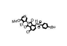 CCc1c(OC)cncc1N1C(=O)c2c(Cl)ccc(NS(=O)(=O)c3ccc(C(C)(C)C)cc3)c2C1=O